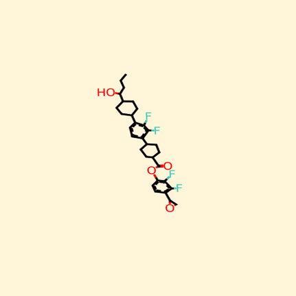 CCCC(O)C1CCC(c2ccc(C3CCC(C(=O)Oc4ccc(C5CO5)c(F)c4F)CC3)c(F)c2F)CC1